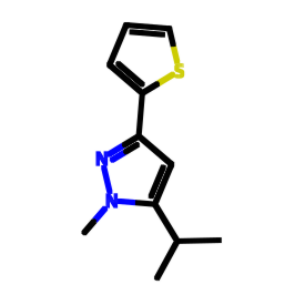 CC(C)c1cc(-c2cccs2)nn1C